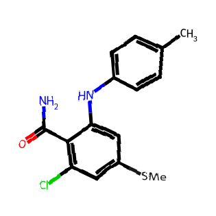 CSc1cc(Cl)c(C(N)=O)c(Nc2ccc(C)cc2)c1